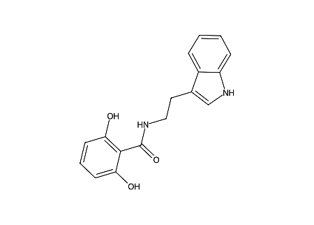 O=C(NCCc1c[nH]c2ccccc12)c1c(O)cccc1O